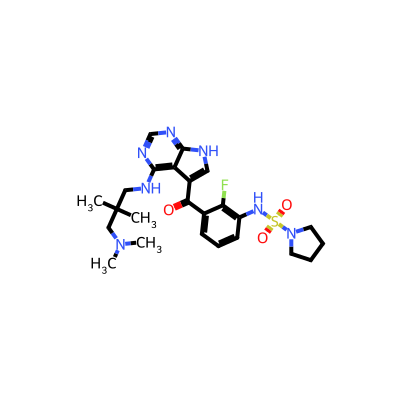 CN(C)CC(C)(C)CNc1ncnc2[nH]cc(C(=O)c3cccc(NS(=O)(=O)N4CCCC4)c3F)c12